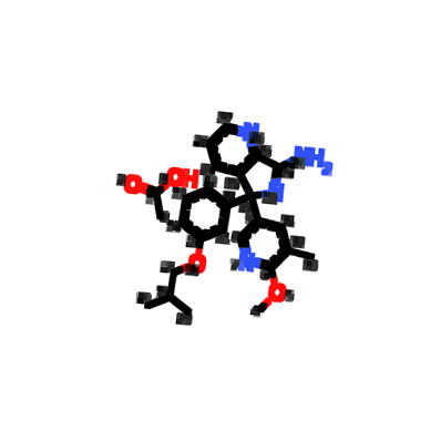 CC(=O)O.COc1ncc(C2(c3cccc(OCC(C)C)c3)N=C(N)c3ncccc32)cc1C